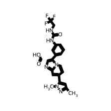 Cc1cc(-c2ccn3c(-c4cccc(NC(=O)NCC(F)(F)F)c4)cnc3c2)n(C)n1.O=CO